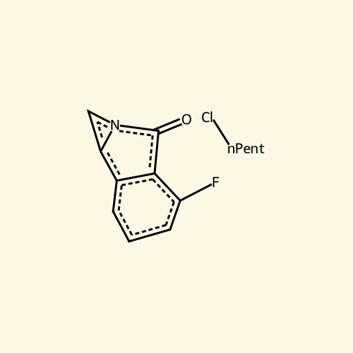 CCCCCCl.O=c1c2c(F)cccc2c2cn1-2